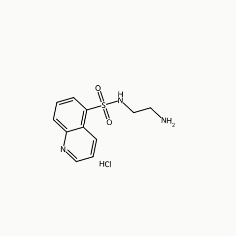 Cl.NCCNS(=O)(=O)c1cccc2ncccc12